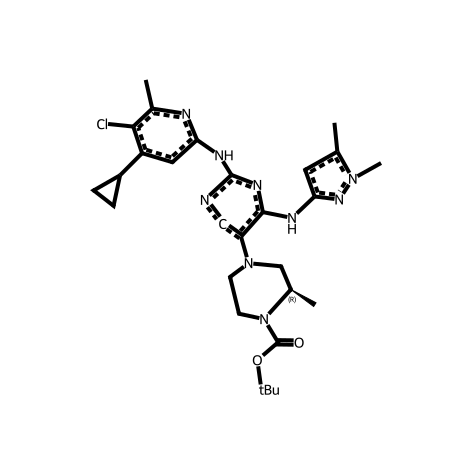 Cc1nc(Nc2ncc(N3CCN(C(=O)OC(C)(C)C)[C@H](C)C3)c(Nc3cc(C)n(C)n3)n2)cc(C2CC2)c1Cl